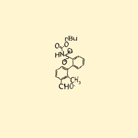 CCCCOC(=O)NS(=O)(=O)c1ccccc1-c1cccc([C]=O)c1C